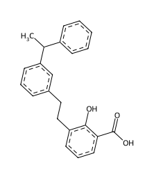 CC(c1ccccc1)c1cccc(CCc2cccc(C(=O)O)c2O)c1